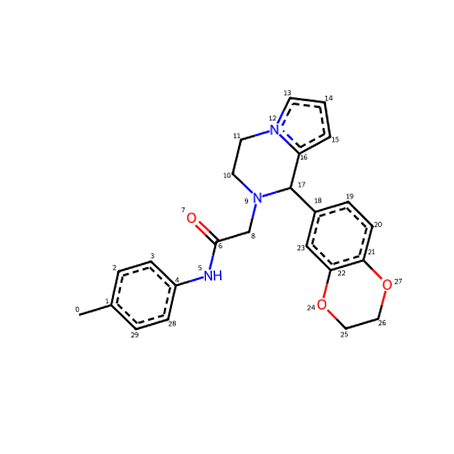 Cc1ccc(NC(=O)CN2CCn3cccc3C2c2ccc3c(c2)OCCO3)cc1